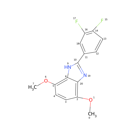 COc1ccc(OC)c2[nH]c(-c3ccc(F)c(F)c3)nc12